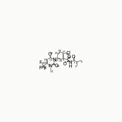 CC(C)C(=O)NS(=O)(=O)c1cc(-n2c(=O)cc(C(F)(F)F)n(C)c2=O)ccc1Cl